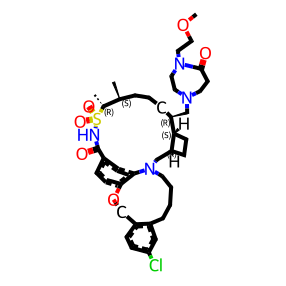 COCCN1CCN(C[C@@H]2CCC[C@H](C)[C@@H](C)S(=O)(=O)NC(=O)c3ccc4c(c3)N(CCCCc3cc(Cl)ccc3CO4)C[C@@H]3CC[C@@H]23)CCC1=O